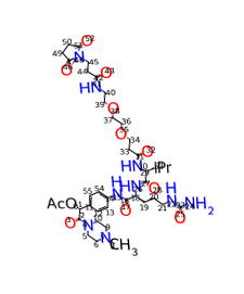 CC(=O)OC(C(=O)N1CCN(C)CC1)c1ccc(NC(=O)[C@H](CCCNC(N)=O)NC(=O)[C@@H](NC(=O)CCOCCOCCNC(=O)CCN2C(=O)CCC2=O)C(C)C)cc1